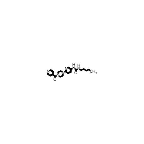 CCCCCNC(=O)Nc1ccc(N2CCN(C(=O)c3ccncc3)CC2)nc1